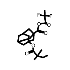 CCC(C)(C)C(=O)OC12CC3CC(C1)CC(C(=O)OC(=O)C(C)(F)F)(C3)C2